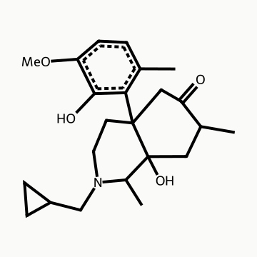 COc1ccc(C)c(C23CCN(CC4CC4)C(C)C2(O)CC(C)C(=O)C3)c1O